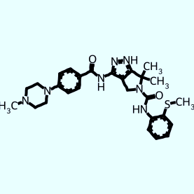 CSc1ccccc1NC(=O)N1Cc2c(NC(=O)c3ccc(N4CCN(C)CC4)cc3)n[nH]c2C1(C)C